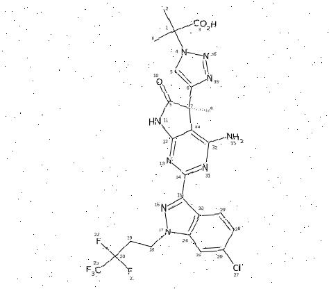 CC(C)(C(=O)O)n1cc([C@]2(C)C(=O)Nc3nc(-c4nn(CCC(F)(F)C(F)(F)F)c5cc(Cl)ccc45)nc(N)c32)nn1